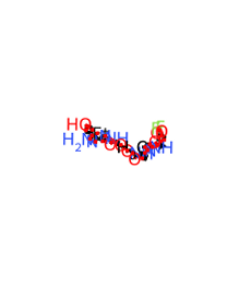 CCc1c(-c2ccc(NC(=O)CCOCCOCCNC(=O)c3cccc(-c4nc(NC(=O)C5(c6ccc7c(c6)OC(F)(F)O7)CC5)ccc4C)c3)nc2)cnc(N)c1-c1ccc(O)cc1